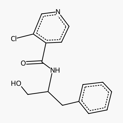 O=C(NC(CO)Cc1ccccc1)c1ccncc1Cl